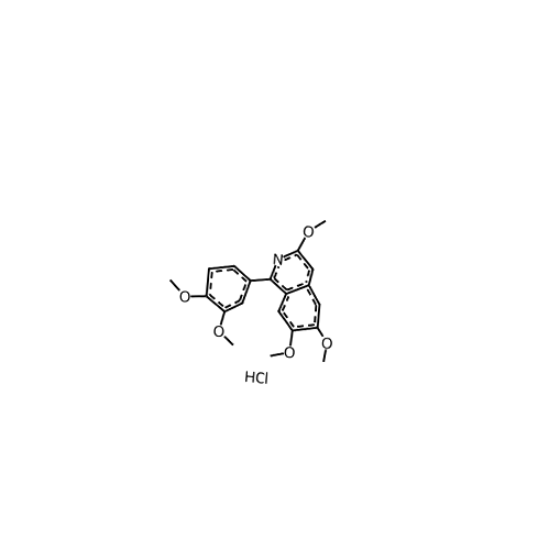 COc1cc2cc(OC)c(OC)cc2c(-c2ccc(OC)c(OC)c2)n1.Cl